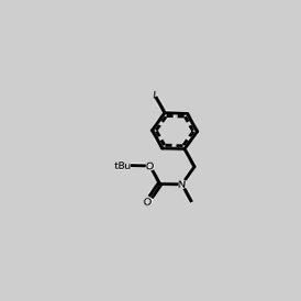 CN(Cc1ccc(I)cc1)C(=O)OC(C)(C)C